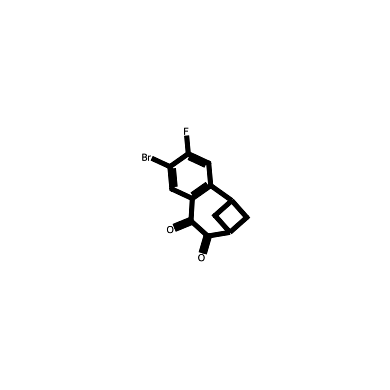 O=C1C(=O)C2CC(C2)c2cc(F)c(Br)cc21